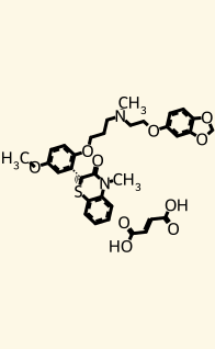 COc1ccc(OCCCN(C)CCOc2ccc3c(c2)OCO3)c([C@H]2Sc3ccccc3N(C)C2=O)c1.O=C(O)C=CC(=O)O